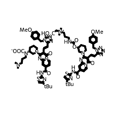 COc1ccc(Cn2nnnc2C=Cc2c(N3CCC[C@@H](N(CCCN(C)C)C(=O)[O-])C3)nc3cc(C(=O)Nc4nc(C(C)(C)C)cs4)ccn3c2=O)cc1.COc1ccc(Cn2nnnc2C=Cc2c(N3CCC[C@@H](OC(=O)NCCC[N+](C)(C)CC(=O)O)C3)nc3cc(C(=O)Nc4nc(C(C)(C)C)cs4)ccn3c2=O)cc1